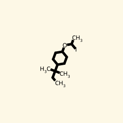 CCC(C)(C)C1CCC(OC(C)I)CC1